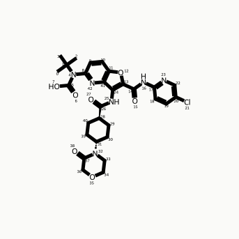 CC(C)(C)N(C(=O)O)c1ccc2oc(C(=O)Nc3ccc(Cl)cn3)c(NC(=O)[C@H]3CC[C@H](N4CCOCC4=O)CC3)c2n1